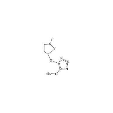 CCCCOc1nsnc1OC1CCN(C)C1